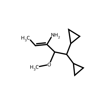 CC=C(N)C(OC)C(C1CC1)C1CC1